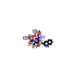 CC(C)OCC(NC(=O)OC(C)(C)C)[C@H](SCc1cnc2ccccc2c1)[C@@H](OC(C)C)C(CBr)NC(=O)OC(C)(C)C